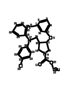 CC(C)c1cccc(OC2CN(C(=O)OC(C)(C)C)CC2CN(c2ccccc2)c2ccc(Cl)cc2)c1